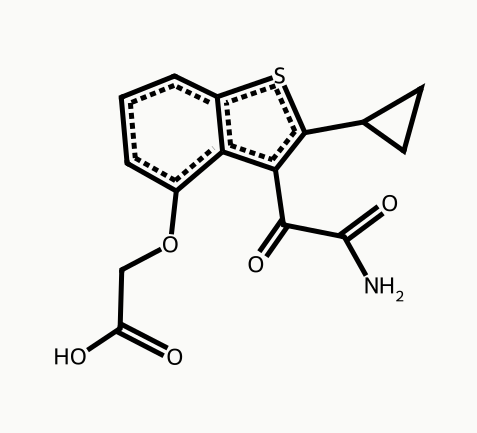 NC(=O)C(=O)c1c(C2CC2)sc2cccc(OCC(=O)O)c12